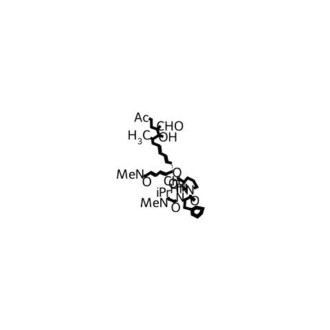 CNC(=O)/C=C/C=C(\C)[C@H](C/C=C/C=C/CC(C)C(O)C(C=O)CCC(C)=O)OC(=O)C1CCCN(C(=O)C(Cc2ccccc2)NC(=O)C(NC)C(C)C)N1